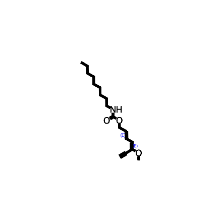 C#C/C(=C\C=C\COC(=O)NCCCCCCCCC)OC